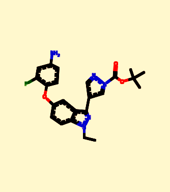 CCn1nc(-c2cnn(C(=O)OC(C)(C)C)c2)c2cc(Oc3ccc(N)cc3F)ccc21